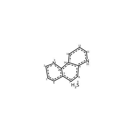 S.c1cnc2c(c1)ccc1ncccc12